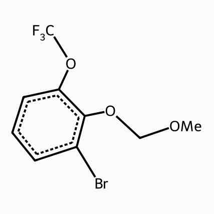 COCOc1c(Br)cccc1OC(F)(F)F